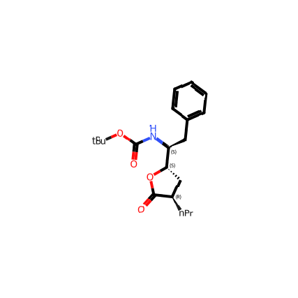 CCC[C@@H]1C[C@@H]([C@H](Cc2ccccc2)NC(=O)OC(C)(C)C)OC1=O